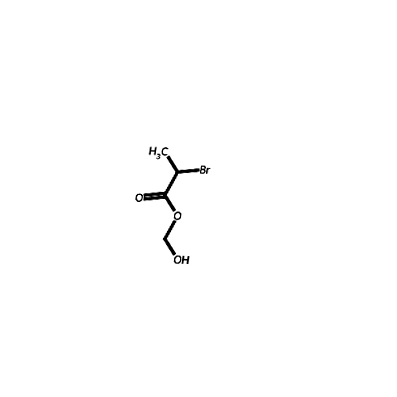 CC(Br)C(=O)OCO